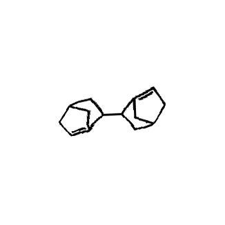 C1=C2CC(C1)CC2C1CC2CC=C1C2